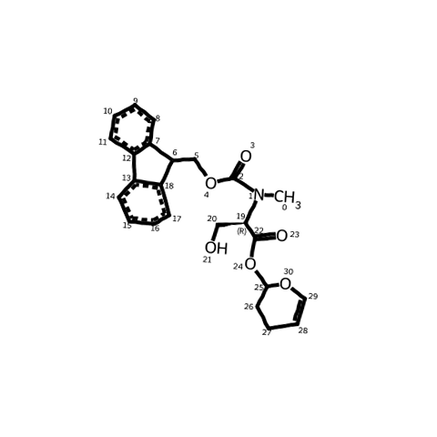 CN(C(=O)OCC1c2ccccc2-c2ccccc21)[C@H](CO)C(=O)OC1CCC=CO1